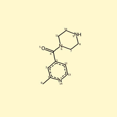 Cc1cc(C(=O)N2CCNCC2)ccn1